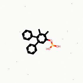 Cc1c(OP(O)O)cc(-c2ccccc2)c(-c2ccccc2)c1C